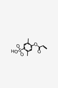 C=CC(=O)Oc1cc(C)c(S(=O)(=O)O)cc1C